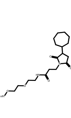 CCCOCCOCCNC(=O)CCN1C(=O)CC(C2CCCCCC2)C1=O